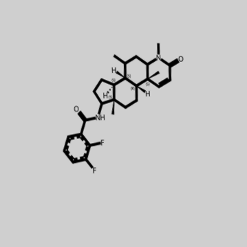 CC1CC2N(C)C(=O)C=C[C@]2(C)[C@@H]2CC[C@]3(C)C(NC(=O)c4cccc(F)c4F)CC[C@H]3[C@H]12